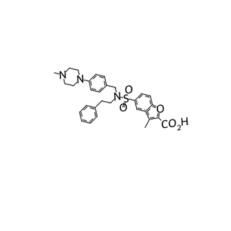 Cc1c(C(=O)O)oc2ccc(S(=O)(=O)N(CCc3ccccc3)Cc3ccc(N4CCN(C)CC4)cc3)cc12